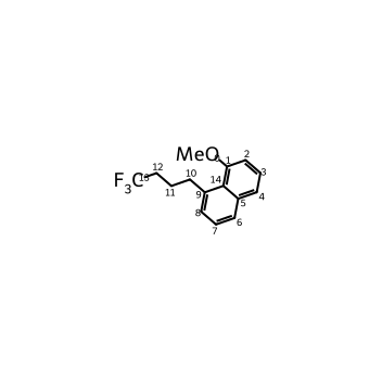 COc1cccc2cccc(CCCC(F)(F)F)c12